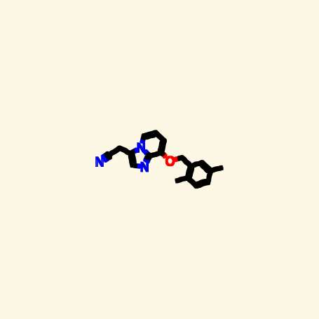 Cc1ccc(C)c(COc2cccn3c(CC#N)cnc23)c1